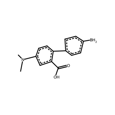 Bc1ccc(-c2ccc(N(C)C)cc2C(=O)O)cc1